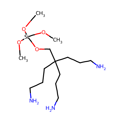 CO[Si](OC)(OC)OCC(CCCN)(CCCN)CCCN